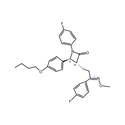 CCCCOc1ccc([C@@H]2[C@@H](CC/C(=N/OC)c3ccc(F)cc3)C(=O)N2c2ccc(F)cc2)cc1